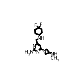 CNC1CN(c2cc(CNC3CCC(F)(F)CC3)nc(N)n2)C1